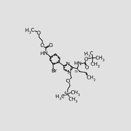 C=CC[C@H](NC(=O)OC(C)(C)C)c1nc(-c2ccc(NC(=O)OCCOC)cc2Br)cn1COCC[Si](C)(C)C